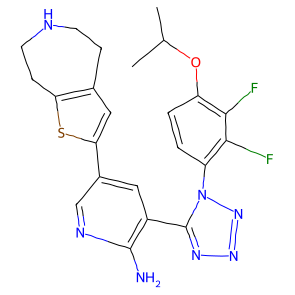 CC(C)Oc1ccc(-n2nnnc2-c2cc(-c3cc4c(s3)CCNCC4)cnc2N)c(F)c1F